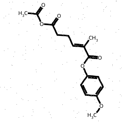 COc1ccc(OC(=O)C(C)=CCCC(=O)OC(C)=O)cc1